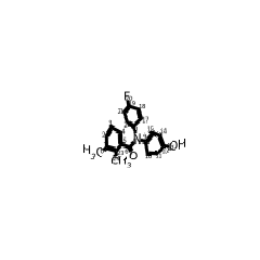 Cc1cccc(C(=O)N(c2ccc(O)cc2)c2ccc(F)cc2)c1C